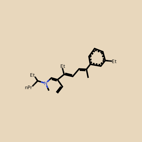 C=CC(=C\N(C)C(CC)CCC)/C(=C/C=C(\C)c1cccc(CC)c1)CC